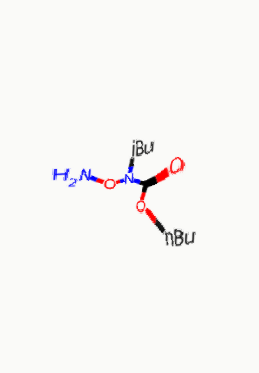 CCCCOC(=O)N(ON)C(C)CC